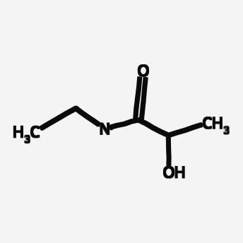 CC[N]C(=O)C(C)O